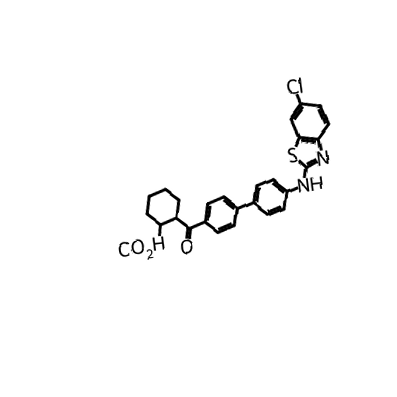 O=C(O)C1CCCCC1C(=O)c1ccc(-c2ccc(Nc3nc4ccc(Cl)cc4s3)cc2)cc1